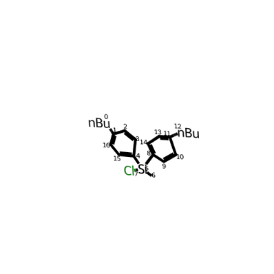 CCCCc1ccc([Si](C)(Cl)c2ccc(CCCC)cc2)cc1